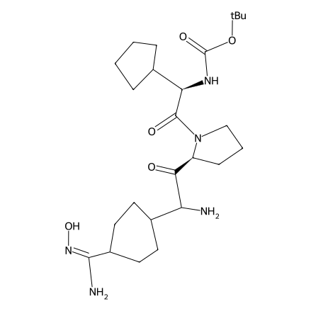 CC(C)(C)OC(=O)N[C@@H](C(=O)N1CCC[C@H]1C(=O)C(N)C1CCC(/C(N)=N\O)CC1)C1CCCC1